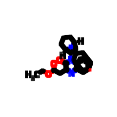 CCOC(=O)Cc1nc2ccccc2n([C@@H]2C[C@@H]3CCC[C@H]2N3C2CC3CCCC(C3)C2)c1=O